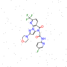 O=C(Cn1c(=O)c2ccc(C(F)(F)F)nc2n2nc(N3CCOCC3)cc12)Nc1ccc(F)cn1